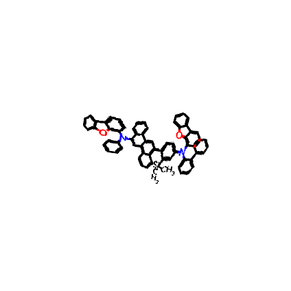 C[Si]1(C)c2cc(N(c3ccccc3-c3ccccc3)c3cccc4c3oc3ccccc34)ccc2-c2cc3c4ccccc4c(N(c4ccccc4)c4cccc5c4oc4ccccc45)cc3c3cccc1c23